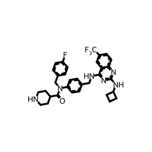 O=C(C1CCNCC1)N(Cc1ccc(F)cc1)c1ccc(CNc2nc(NC3CCC3)nc3ccc(C(F)(F)F)cc23)cc1